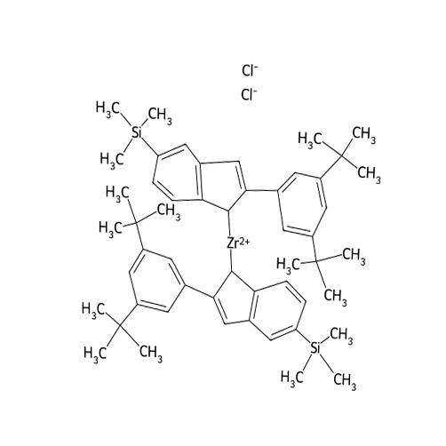 CC(C)(C)c1cc(C2=Cc3cc([Si](C)(C)C)ccc3[CH]2[Zr+2][CH]2C(c3cc(C(C)(C)C)cc(C(C)(C)C)c3)=Cc3cc([Si](C)(C)C)ccc32)cc(C(C)(C)C)c1.[Cl-].[Cl-]